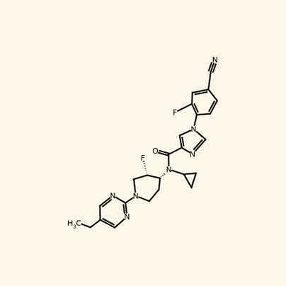 CCc1cnc(N2CC[C@@H](N(C(=O)c3cn(-c4ccc(C#N)cc4F)cn3)C3CC3)[C@@H](F)C2)nc1